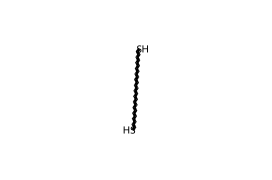 SCCCCCCCCCCCCCCCCCCCCCCCCCCCCS